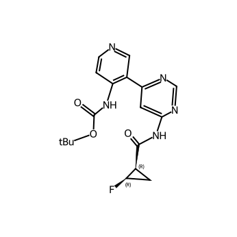 CC(C)(C)OC(=O)Nc1ccncc1-c1cc(NC(=O)[C@H]2C[C@H]2F)ncn1